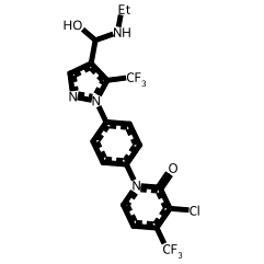 CCNC(O)c1cnn(-c2ccc(-n3ccc(C(F)(F)F)c(Cl)c3=O)cc2)c1C(F)(F)F